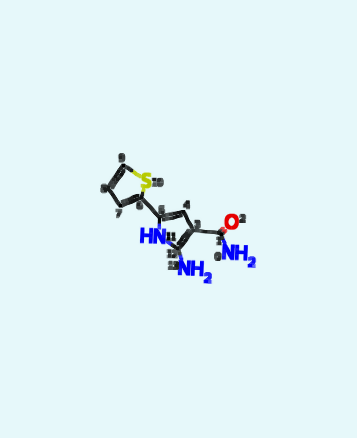 NC(=O)c1cc(-c2cccs2)[nH]c1N